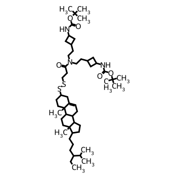 CCC(CCCC1CCC2C3CC=C4CC(SSCCC(=O)N(CCC5CC(NC(=O)OC(C)(C)C)C5)CCC5CC(NC(=O)OC(C)(C)C)C5)CCC4(C)C3CCC12C)C(C)C